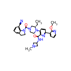 CCOc1ncccc1-c1ccc(N2CCN(C(=O)N3CCc4cccc(C#N)c43)C[C@H]2CC)c(C(=O)NC2CN(C)C2)n1